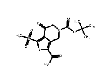 CC(=O)c1sc(S(C)(=O)=O)c2c1CN(C(=O)OC(C)(C)C)CC2=O